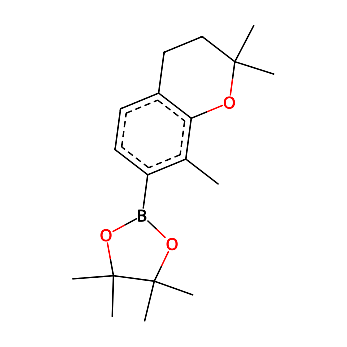 Cc1c(B2OC(C)(C)C(C)(C)O2)ccc2c1OC(C)(C)CC2